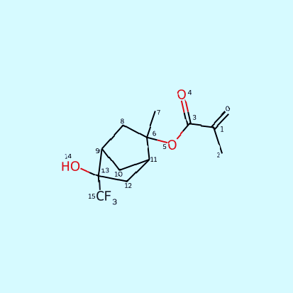 C=C(C)C(=O)OC1(C)CC2CC1CC2(O)C(F)(F)F